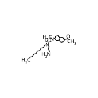 CCCCCCCCCCN(CCCN)C(=O)CN(C)c1ccc2cc(C(C)=O)ccc2c1